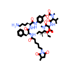 CC[C@H](C)[C@@H]([C@@H](CC)OC)N(C)C(=O)[C@@H](NC(=O)C(C(C)C)N(C)C(=O)OCc1ccc(NC(=O)[C@H](CCCCN)NC(=O)[C@H](Cc2ccccc2)NC(=O)CCCCCN2C(=O)CC(C)C2=O)cc1)C(C)C